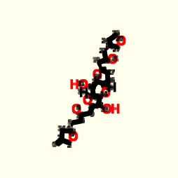 C=C1CO[C@@H](CCC(=O)CC2O[C@@H]3C(O[C@H]4CC[C@H](CC(=O)C[C@@H]5CCOC5)OC4[C@@H]3O)[C@H]2O)C1